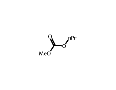 CC[CH]OC(=O)OC